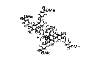 COC(=O)c1ccc(Oc2cccc(Oc3cc4c(cc3Oc3cccc(Oc5ccc(C(=O)OC)cc5)c3C#N)C3(CC4(C)C)CC(C)(C)c4cc(Oc5cccc(Oc6ccc(C(=O)OC)cc6)c5C#N)c(Oc5cccc(Oc6ccc(C(=O)OC)cc6)c5C#N)cc43)c2C#N)cc1